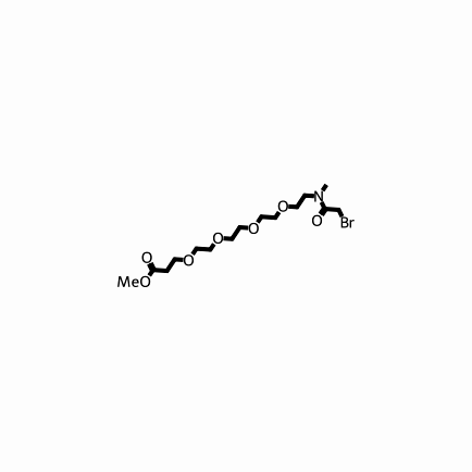 COC(=O)CCOCCOCCOCCOCCN(C)C(=O)CBr